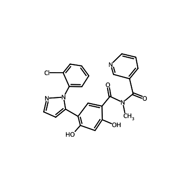 CN(C(=O)c1cccnc1)C(=O)c1cc(-c2ccnn2-c2ccccc2Cl)c(O)cc1O